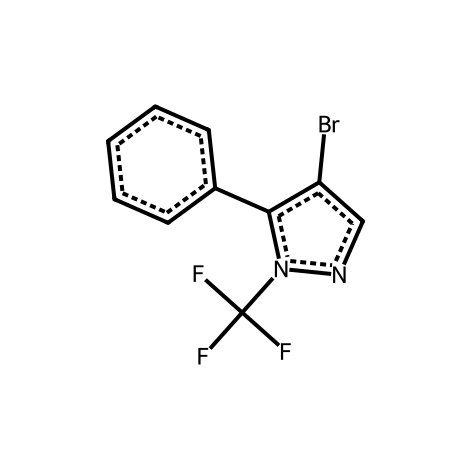 FC(F)(F)n1ncc(Br)c1-c1ccccc1